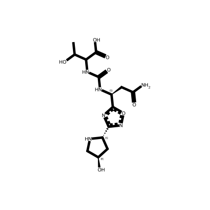 CC(O)C(NC(=O)N[C@@H](CC(N)=O)c1nc([C@@H]2C[C@@H](O)CN2)no1)C(=O)O